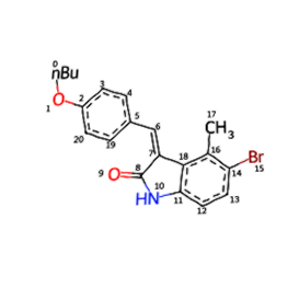 CCCCOc1ccc(C=C2C(=O)Nc3ccc(Br)c(C)c32)cc1